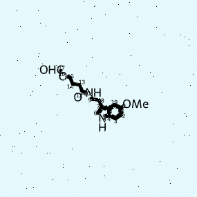 COc1ccc2[nH]cc(CCNC(=O)CCCOC=O)c2c1